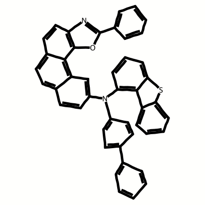 c1ccc(-c2ccc(N(c3ccc4ccc5ccc6nc(-c7ccccc7)oc6c5c4c3)c3cccc4sc5ccccc5c34)cc2)cc1